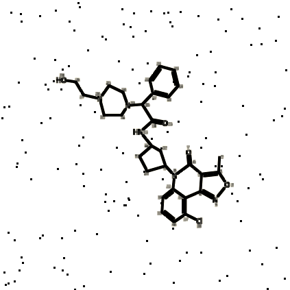 Cc1onc2c1c(=O)n(C1CCC(NC(=O)C(c3ccccc3)N3CCN(CCO)CC3)C1)c1cccc(Cl)c21